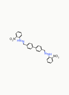 O=[N+]([O-])c1ccccc1N/N=C/c1ccc(-c2ccc(/C=N/Nc3ccccc3[N+](=O)[O-])cc2)cc1